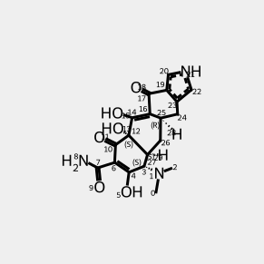 CN(C)[C@@H]1C(O)=C(C(N)=O)C(=O)[C@@]2(O)C(O)=C3C(=O)c4c[nH]cc4C[C@H]3C[C@@H]12